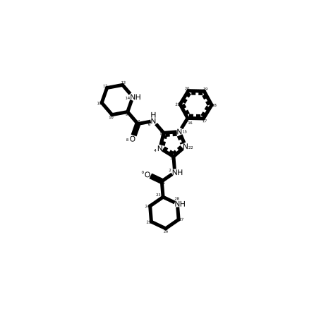 O=C(Nc1nc(NC(=O)C2CCCCN2)n(-c2ccccc2)n1)C1CCCCN1